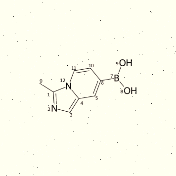 Cc1ncc2cc(B(O)O)ccn12